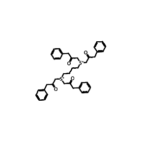 O=C(Cc1ccccc1)C[S+](CCCC[S+](CC(=O)Cc1ccccc1)CC(=O)Cc1ccccc1)CC(=O)Cc1ccccc1